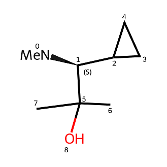 CN[C@@H](C1CC1)C(C)(C)O